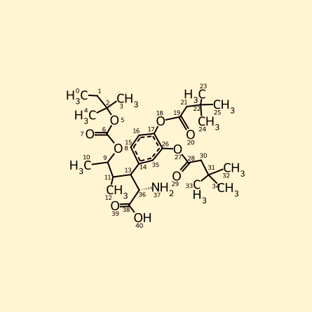 CCC(C)(C)OC(=O)OC(C)C(C)C(c1ccc(OC(=O)CC(C)(C)C)c(OC(=O)CC(C)(C)C)c1)[C@H](N)C(=O)O